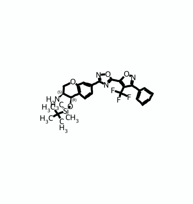 CC(C)(C)[Si](C)(C)O[C@@H]1c2ccc(-c3noc(-c4onc(-c5ccccc5)c4C(F)(F)F)n3)cc2OC[C@@H]1N